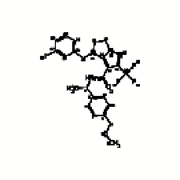 COCc1ccc([C@H](C)NC(=O)c2c(C(F)(F)F)nn3c2N(Cc2cccc(I)c2)CC3)cc1